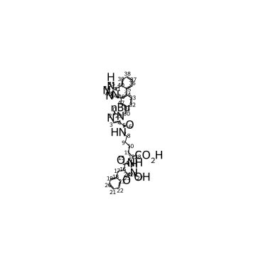 CCCCc1ncc(C(=O)NCCCCC(NC(=O)C(Cc2ccccc2)C(=O)NO)C(=O)O)n1Cc1ccc(-c2ccccc2-c2nnn[nH]2)cc1